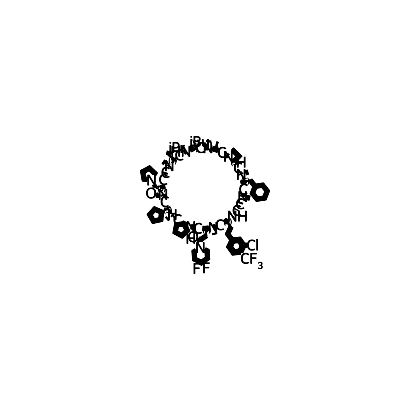 CC[C@H](C)[C@H]1CN(C)[C@@H](C)CN2CC[C@H]2CN(C)[C@@H](CC2CCCCC2)CN(C)CCN[C@@H](CCc2ccc(C(F)(F)F)c(Cl)c2)CN(C)[C@@H](CC(=O)N2CCC(F)(F)CC2)CNC2(CCCC2)CN(C)[C@@H](C2CCCC2)CN(C)[C@H](C(=O)N2CCCC2)CCN(C)[C@@H](CC(C)C)CN1